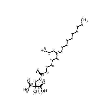 CCCCCCCCCCN(CCO)CCCCCC(=O)OCC(C)(C(=O)O)C(=O)O